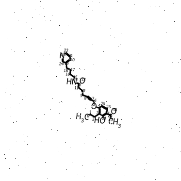 CCCc1c(OCC#CCCCC(=O)NCCCCc2cccnc2)ccc(C(C)=O)c1O